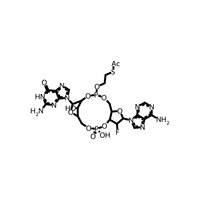 CC(=O)SCCOP1OCC2OC(n3cnc4c(N)ncnc43)C(F)C2OP(=O)(O)OCC2OC(n3cnc4c(=O)[nH]c(N)nc43)C(O1)C2O